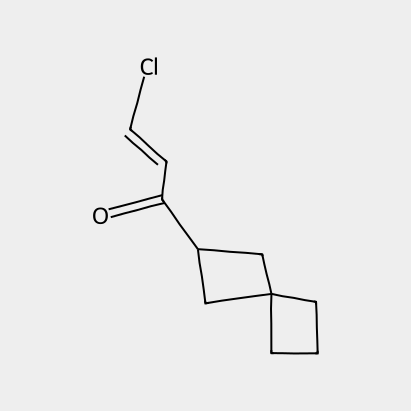 O=C(C=CCl)C1CC2(CCC2)C1